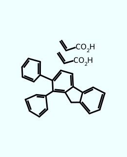 C=CC(=O)O.C=CC(=O)O.c1ccc(-c2ccc3c(c2-c2ccccc2)Cc2ccccc2-3)cc1